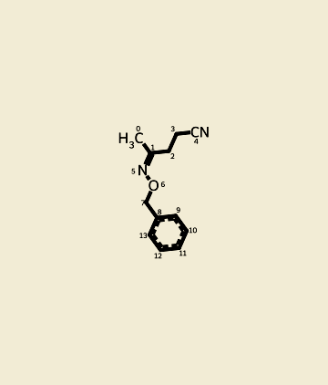 CC(CCC#N)=NOCc1ccccc1